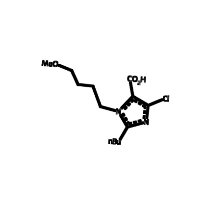 CCCCc1nc(Cl)c(C(=O)O)n1CCCCOC